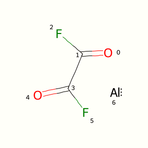 O=C(F)C(=O)F.[Al]